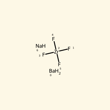 [BaH2].[F][Zr]([F])([F])[F].[NaH]